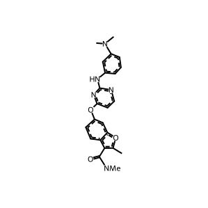 CNC(=O)c1c(C)oc2cc(Oc3ccnc(Nc4cccc(N(C)C)c4)n3)ccc12